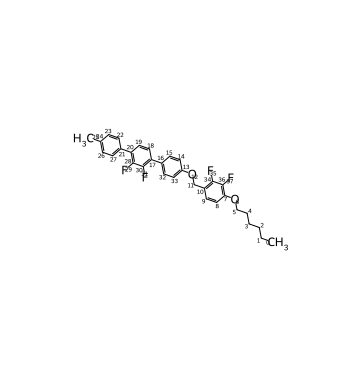 CCCCCCOc1ccc(COc2ccc(-c3ccc(-c4ccc(C)cc4)c(F)c3F)cc2)c(F)c1F